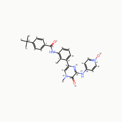 Cc1c(NC(=O)c2ccc(C(C)(C)C)cc2)cccc1-c1cn(C)c(=O)c(Nc2cc[n+]([O-])cc2)n1